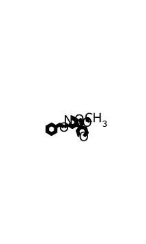 COC(=O)C1(c2ccnc(OCC3CCCCC3)c2)CCOCC1